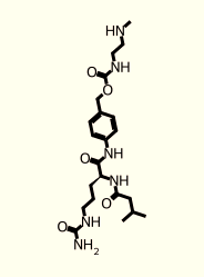 CNCCNC(=O)OCc1ccc(NC(=O)[C@H](CCCNC(N)=O)NC(=O)CC(C)C)cc1